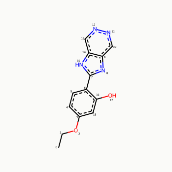 CCOc1ccc(-c2nc3cnncc3[nH]2)c(O)c1